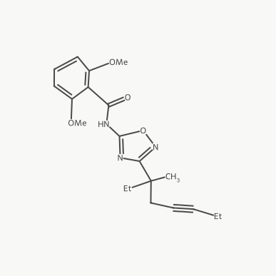 CCC#CCC(C)(CC)c1noc(NC(=O)c2c(OC)cccc2OC)n1